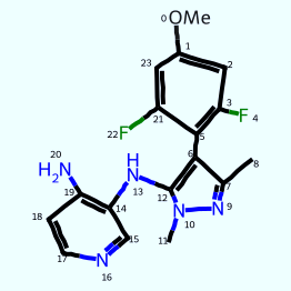 COc1cc(F)c(-c2c(C)nn(C)c2Nc2cnccc2N)c(F)c1